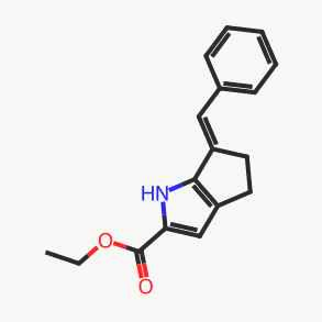 CCOC(=O)c1cc2c([nH]1)C(=Cc1ccccc1)CC2